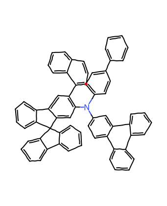 c1ccc(-c2ccc(N(c3ccc4c5ccccc5c5ccccc5c4c3)c3cc4c(cc3-c3cccc5ccccc35)-c3ccccc3C43c4ccccc4-c4ccccc43)cc2)cc1